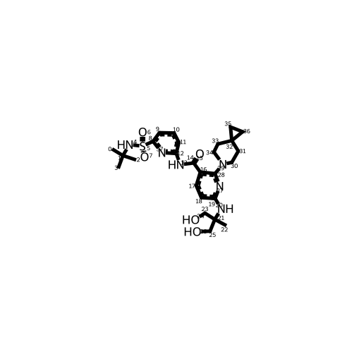 CC(C)(C)NS(=O)(=O)c1cccc(NC(=O)c2ccc(NC(C)(CO)CO)nc2N2CCC3(CC2)CC3)n1